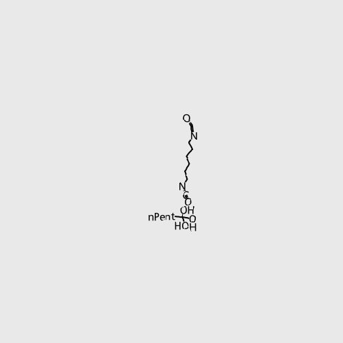 CCCCCC(O)(O)O.O=C=NCCCCCCN=C=O